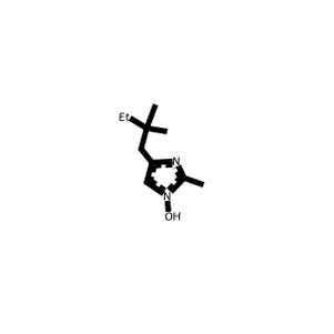 CCC(C)(C)Cc1cn(O)c(C)n1